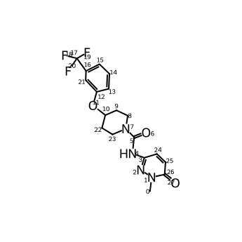 Cn1nc(NC(=O)N2CCC(Oc3cccc(C(F)(F)F)c3)CC2)ccc1=O